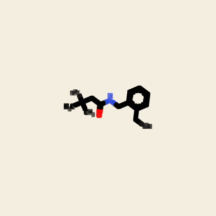 CCCC(C)(C)CC(=O)NCc1ccccc1CC(C)(C)C